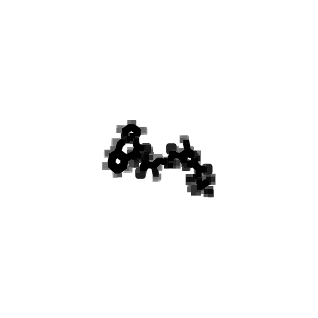 [2H]C([2H])([2H])NC(=O)c1nc(C)c(C(=O)NC[C@@H](C)C(=O)N[C@@]2([2H])C(=O)N3CCCN3Cc3ccccc32)s1